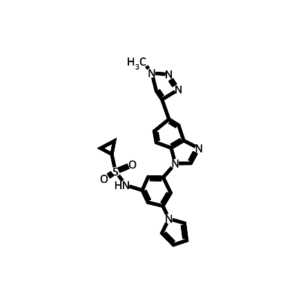 Cn1cc(-c2ccc3c(c2)ncn3-c2cc(NS(=O)(=O)C3CC3)cc(-n3cccc3)c2)nn1